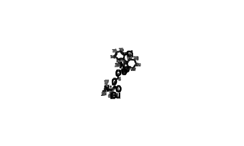 CCC(C)[C@@H](C(=O)OCOC(=O)N(C)[C@]1(c2ccccc2Cl)CCCCC1=O)N(C)C